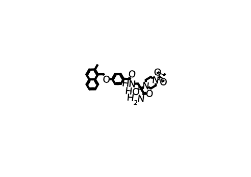 Cc1ccc2ccccc2c1COc1ccc(C(=O)NC[C@](O)(C(N)=O)N2CCN(S(C)(=O)=O)CC2)cc1